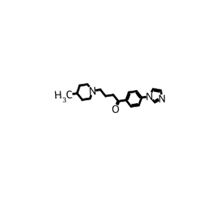 CC1CCN(CCCC(=O)c2ccc(-n3ccnc3)cc2)CC1